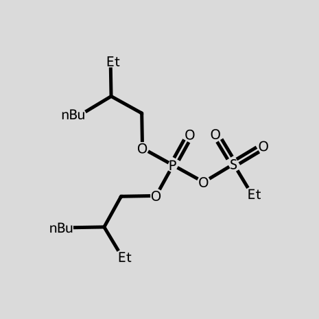 CCCCC(CC)COP(=O)(OCC(CC)CCCC)OS(=O)(=O)CC